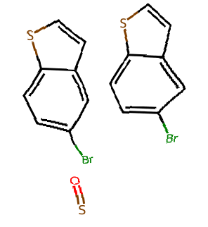 Brc1ccc2sccc2c1.Brc1ccc2sccc2c1.O=S